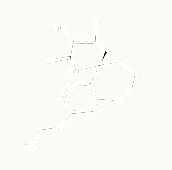 N#CC1=C(Cl)C[C@]2(CCCOc3cc(OCC(F)(F)F)ccc32)NC1=O